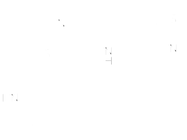 C1=C(c2cc3c(Nc4ccc5scnc5c4)ccnc3s2)CNCCC1